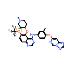 [2H]C([2H])([2H])Oc1ccc2ncnc(Nc3ccc(Oc4cc5ncnn5cn4)c(C)c3)c2c1O[C@H]1CCN(C)CC1(F)F